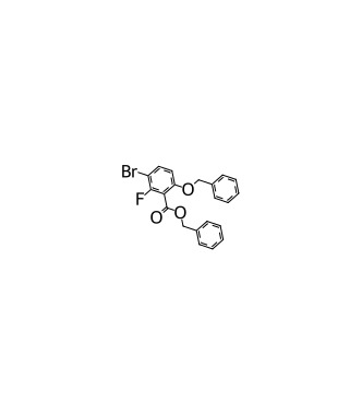 O=C(OCc1ccccc1)c1c(OCc2ccccc2)ccc(Br)c1F